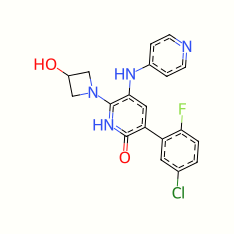 O=c1[nH]c(N2CC(O)C2)c(Nc2ccncc2)cc1-c1cc(Cl)ccc1F